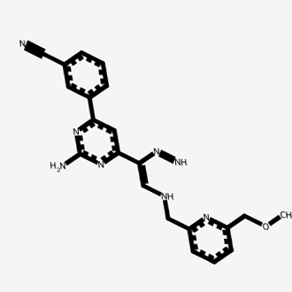 COCc1cccc(CN/C=C(\N=N)c2cc(-c3cccc(C#N)c3)nc(N)n2)n1